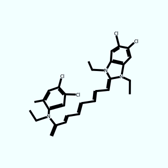 C=C(/C=C/C=C/C=C/C=C1N(CC)c2cc(Cl)c(Cl)cc2N1CC)N(CC)c1cc(Cl)c(Cl)cc1C